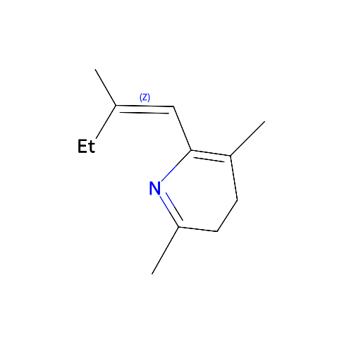 CC/C(C)=C\C1=C(C)CCC(C)=N1